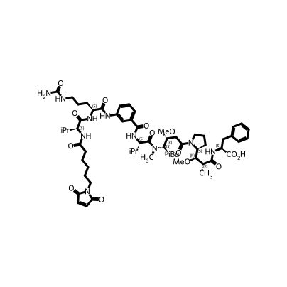 CC[C@H](C)[C@@H]([C@@H](CC(=O)N1CCC[C@H]1[C@H](OC)[C@@H](C)C(=O)N[C@@H](Cc1ccccc1)C(=O)O)OC)N(C)C(=O)[C@@H](NC(=O)c1cccc(NC(=O)[C@H](CCCNC(N)=O)NC(=O)[C@@H](NC(=O)CCCCCN2C(=O)C=CC2=O)C(C)C)c1)C(C)C